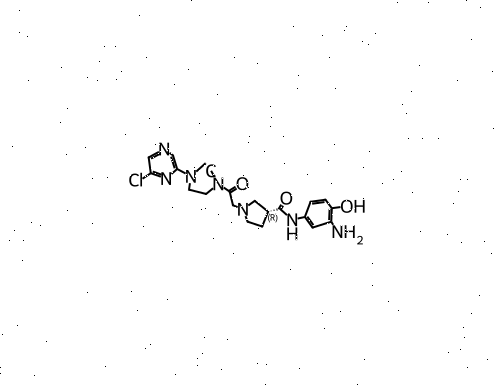 Nc1cc(NC(=O)[C@@H]2CCN(CC(=O)N3CCN(c4cncc(Cl)n4)CC3)C2)ccc1O